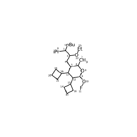 CCCCC(C(C)C)C(CC1C(C)OC(OF)C(C2CCC2)C1C1CCC1)OCC